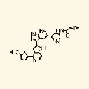 Cc1ccc(-c2nccc3[nH]c(-c4n[nH]c5ncc(-c6cncc(NC(=O)CC(C)C)c6)cc45)cc23)s1